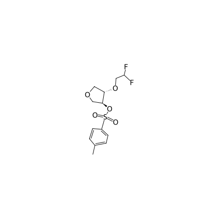 Cc1ccc(S(=O)(=O)O[C@H]2COC[C@@H]2OCC(F)F)cc1